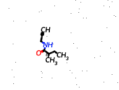 C#CCNC(=O)[C@@H](C)CC